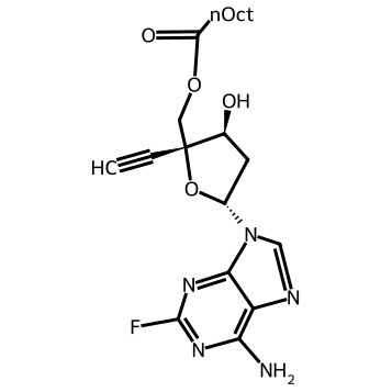 C#C[C@]1(COC(=O)CCCCCCCC)O[C@@H](n2cnc3c(N)nc(F)nc32)C[C@@H]1O